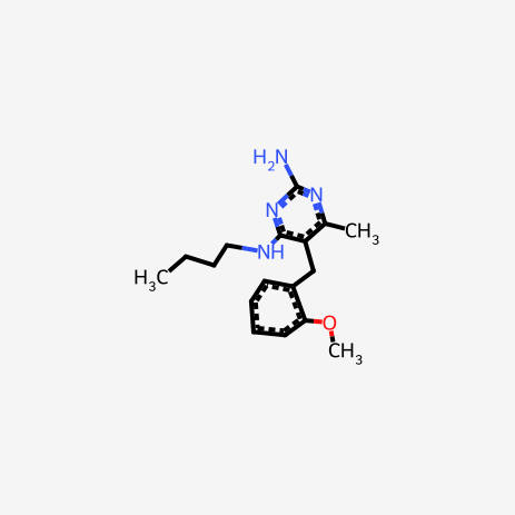 CCCCNc1nc(N)nc(C)c1Cc1ccccc1OC